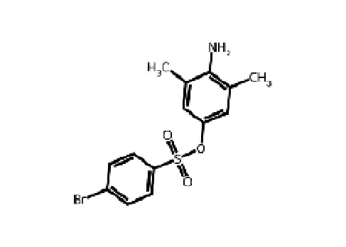 Cc1cc(OS(=O)(=O)c2ccc(Br)cc2)cc(C)c1N